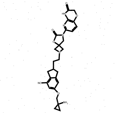 N#Cc1cc(OCC2(N)CC2)cc2c1CC(CCN1CC3(C1)CN(c1ccc4c(n1)NC(=O)CO4)C(=O)O3)C2